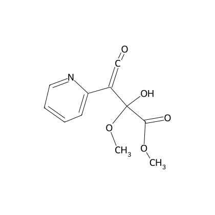 COC(=O)C(O)(OC)C(=C=O)c1ccccn1